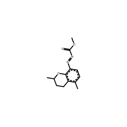 COC(=O)N=Nc1ccc(C)c2c1OC(C)CC2